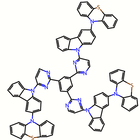 c1ccc2c(c1)Sc1ccccc1N2c1ccc2c(c1)c1ccccc1n2-c1ccnc(-c2cc(-c3nccc(-n4c5ccccc5c5cc(N6c7ccccc7Sc7ccccc76)ccc54)n3)cc(-c3nccc(-n4c5ccccc5c5cc(N6c7ccccc7Sc7ccccc76)ccc54)n3)c2)n1